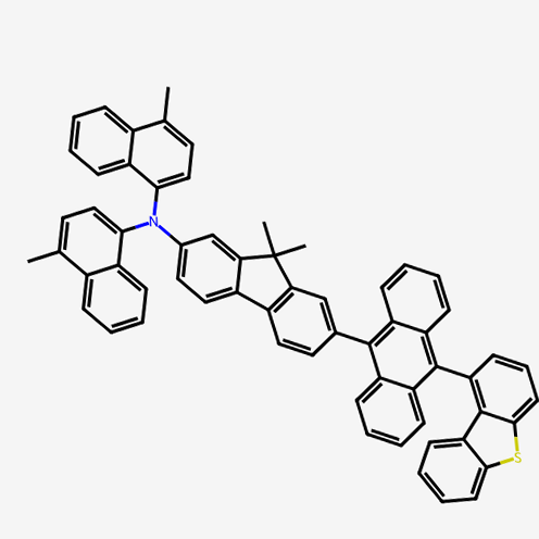 Cc1ccc(N(c2ccc3c(c2)C(C)(C)c2cc(-c4c5ccccc5c(-c5cccc6sc7ccccc7c56)c5ccccc45)ccc2-3)c2ccc(C)c3ccccc23)c2ccccc12